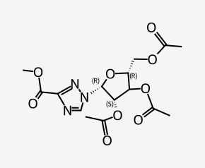 COC(=O)c1ncn([C@@H]2O[C@H](COC(C)=O)C(OC(C)=O)[C@@H]2OC(C)=O)n1